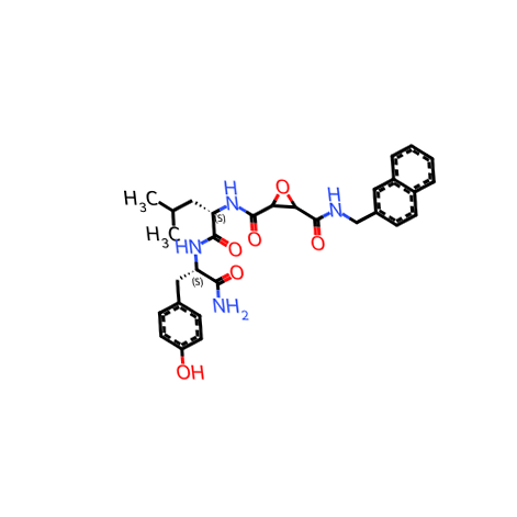 CC(C)C[C@H](NC(=O)C1OC1C(=O)NCc1ccc2ccccc2c1)C(=O)N[C@@H](Cc1ccc(O)cc1)C(N)=O